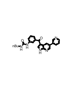 CCCCNC(=O)Nc1cccc(C(=O)c2c[nH]c3ncc(-c4cccnc4)cc23)c1